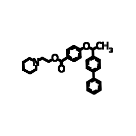 CC(Oc1ccc(C(=O)OCCN2CCCCC2)cc1)c1ccc(-c2ccccc2)cc1